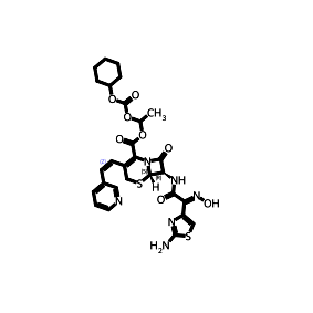 CC(OC(=O)OC1CCCCC1)OC(=O)C1=C(/C=C\c2cccnc2)CS[C@H]2[C@H](NC(=O)C(=NO)c3csc(N)n3)C(=O)N12